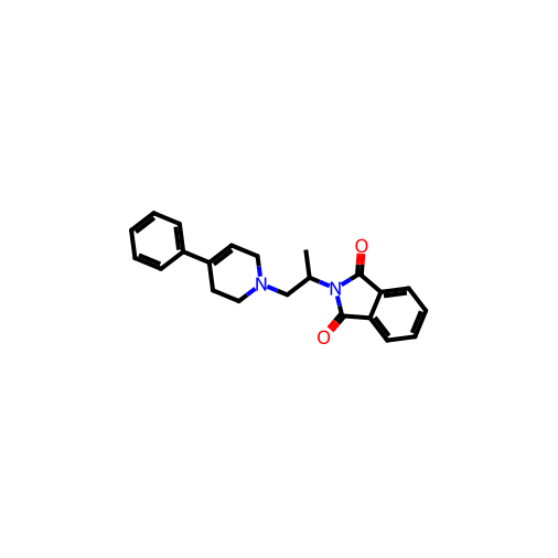 CC(CN1CC=C(c2ccccc2)CC1)N1C(=O)c2ccccc2C1=O